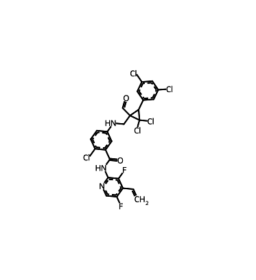 C=Cc1c(F)cnc(NC(=O)c2cc(NCC3(C=O)C(c4cc(Cl)cc(Cl)c4)C3(Cl)Cl)ccc2Cl)c1F